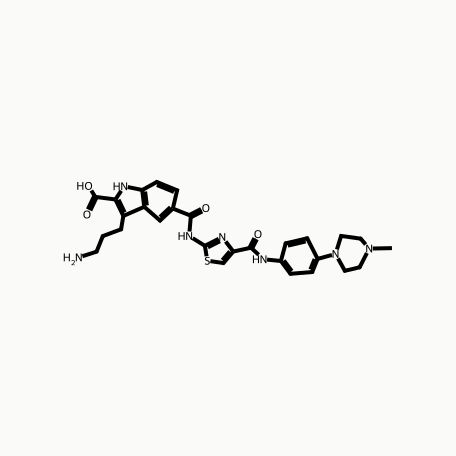 CN1CCN(c2ccc(NC(=O)c3csc(NC(=O)c4ccc5[nH]c(C(=O)O)c(CCCN)c5c4)n3)cc2)CC1